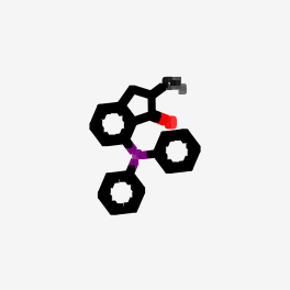 CC1Cc2cccc(P(c3ccccc3)c3ccccc3)c2C1=O